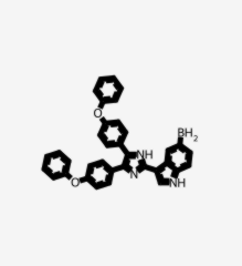 Bc1ccc2[nH]cc(-c3nc(-c4ccc(Oc5ccccc5)cc4)c(-c4ccc(Oc5ccccc5)cc4)[nH]3)c2c1